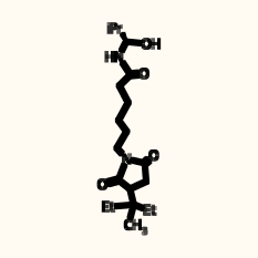 CCC(C)(CC)C1CC(=O)N(CCCCCC(=O)N[C@H](O)C(C)C)C1=O